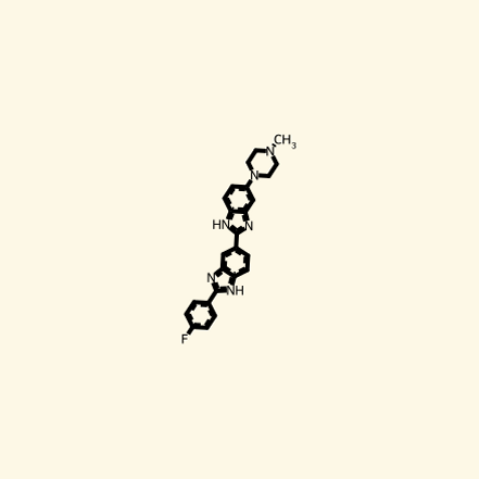 CN1CCN(c2ccc3[nH]c(-c4ccc5[nH]c(-c6ccc(F)cc6)nc5c4)nc3c2)CC1